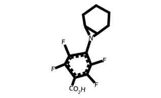 O=C(O)c1c(F)c(F)c(N2C3CCCCC32)c(F)c1F